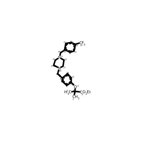 CCOC(=O)C(C)(C)Oc1ccc(CN2CCN(Cc3ccc(C(F)(F)F)cc3)CC2)cc1